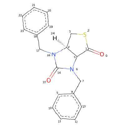 O=C1SC[C@H]2C1N(Cc1ccccc1)C(=O)N2Cc1ccccc1